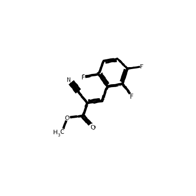 COC(=O)C(C#N)=Cc1c(F)ccc(F)c1F